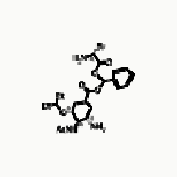 CCC(CC)O[C@@H]1C=C(C(=O)OC(OC(=O)[C@H](N)C(C)C)c2ccccc2)C[C@H](N)[C@H]1NC(C)=O